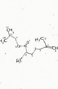 C=C(C)CCCC(C)C(=O)OCC(C)C